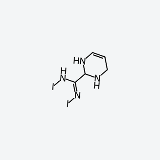 IN=C(NI)C1NC=CCN1